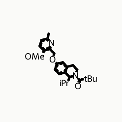 COc1ccc(C)nc1COc1ccc2c(c1)CCN(C(=O)C(C)(C)C)C2C(C)C